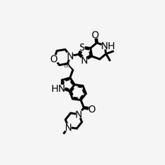 CN1CCN(C(=O)c2ccc3c(C[C@H]4COCCN4c4nc5c(s4)C(=O)NC(C)(C)C5)c[nH]c3c2)CC1